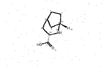 O=C(O)[C@@H]1CC2CC[C@@H](C2)N1